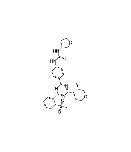 C[C@H]1COCCN1c1nc(-c2ccc(NC(=O)NC3CCOC3)cc2)nc(-c2ccccc2S(C)(=O)=O)n1